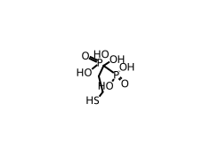 O=P(O)(O)C(O)(CCS)P(=O)(O)O